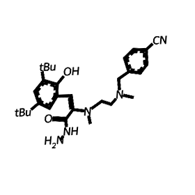 CN(CCN(C)/C(=C/c1cc(C(C)(C)C)cc(C(C)(C)C)c1O)C(=O)NN)Cc1ccc(C#N)cc1